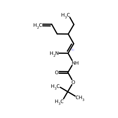 C=CCC(/C=C(\N)NC(=O)OC(C)(C)C)CC